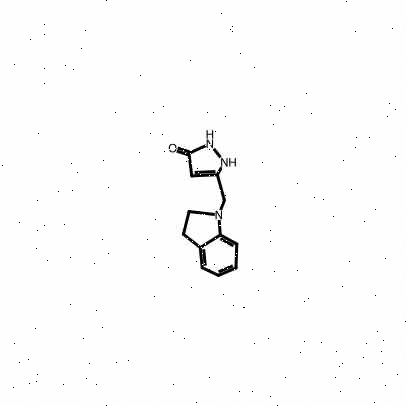 O=c1cc(CN2CCc3ccccc32)[nH][nH]1